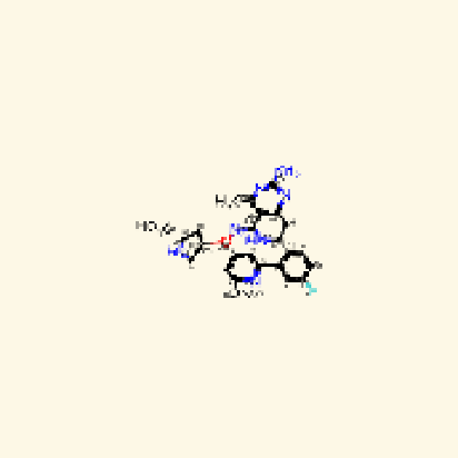 COc1cccc(-c2cc(F)ccc2[C@H]2Cc3nc(N)nc(C)c3/C(=N/O[C@H]3CN[C@H](C(=O)O)C3)N2)n1